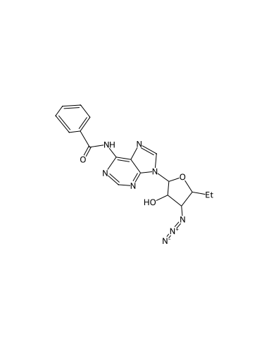 CCC1OC(n2cnc3c(NC(=O)c4ccccc4)ncnc32)C(O)C1N=[N+]=[N-]